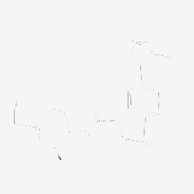 Cc1ncc(-c2cc(F)c3[nH]nc(C(=O)N[C@H]4CCN(CC(C)C)C[C@@H]4F)c3c2)n1C